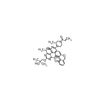 C=CC(=O)N1CCN(c2nc(=O)n(-c3c(C(C)C)nc(OCC(C)(C)O)nc3C(C)C)c3nc(-c4ccccc4F)c(Cl)cc23)[C@@H](C)C1